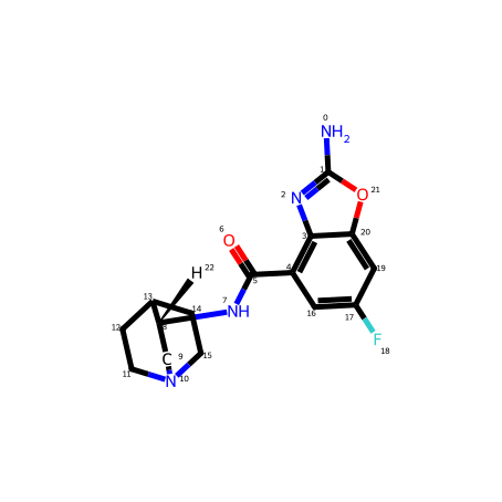 Nc1nc2c(C(=O)N[C@@H]3CN4CCC3CC4)cc(F)cc2o1